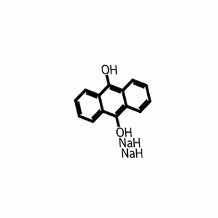 Oc1c2ccccc2c(O)c2ccccc12.[NaH].[NaH]